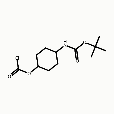 CC(C)(C)OC(=O)NC1CCC(OC(=O)Cl)CC1